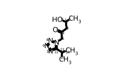 CC(O)CC(=O)Cn1nnnc1C(C)C